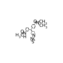 CCN(CC)C(=O)c1ccc(C(=C2CCN(Cc3cscn3)CC2)c2cccc(NC(C)=O)c2)cc1